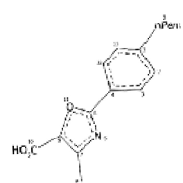 CCCCCc1ccc(-c2nc(C)c(C(=O)O)o2)cc1